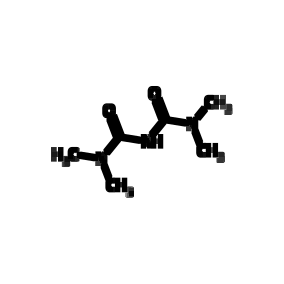 CN(C)C(=O)NC(=O)N(C)C